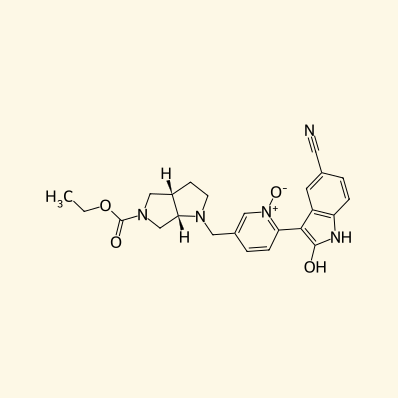 CCOC(=O)N1C[C@@H]2CCN(Cc3ccc(-c4c(O)[nH]c5ccc(C#N)cc45)[n+]([O-])c3)[C@@H]2C1